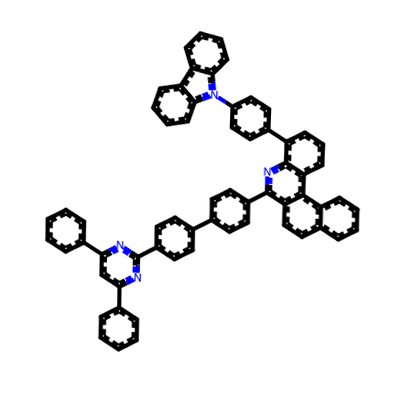 c1ccc(-c2cc(-c3ccccc3)nc(-c3ccc(-c4ccc(-c5nc6c(-c7ccc(-n8c9ccccc9c9ccccc98)cc7)cccc6c6c5ccc5ccccc56)cc4)cc3)n2)cc1